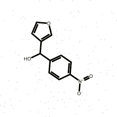 O=[N+]([O-])c1ccc(C(O)c2ccoc2)cc1